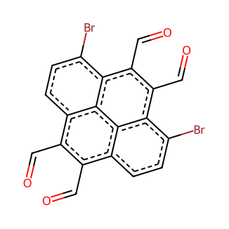 O=Cc1c(C=O)c2ccc(Br)c3c(C=O)c(C=O)c4c(Br)ccc1c4c23